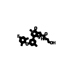 Cc1cc(Oc2c(C)cc(F)cc2C)cc(-c2cn(C)c(=O)c3cc(C(=O)NCCO)sc23)c1